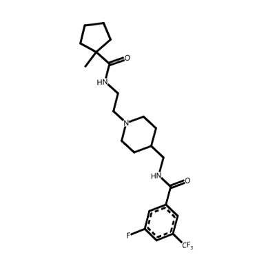 CC1(C(=O)NCCN2CCC(CNC(=O)c3cc(F)cc(C(F)(F)F)c3)CC2)CCCC1